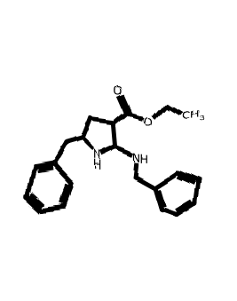 CCOC(=O)C1CC(Cc2ccccc2)NC1NCc1ccccc1